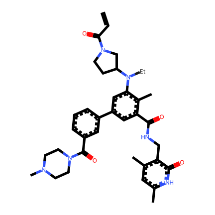 C=CC(=O)N1CCC(N(CC)c2cc(-c3cccc(C(=O)N4CCN(C)CC4)c3)cc(C(=O)NCc3c(C)cc(C)[nH]c3=O)c2C)C1